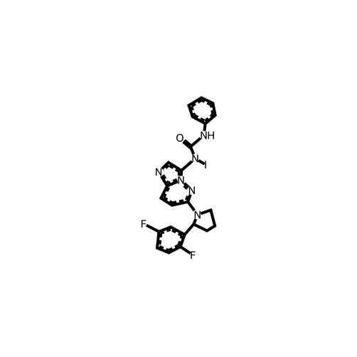 O=C(Nc1ccccc1)N(I)c1cnc2ccc(N3CCCC3c3cc(F)ccc3F)nn12